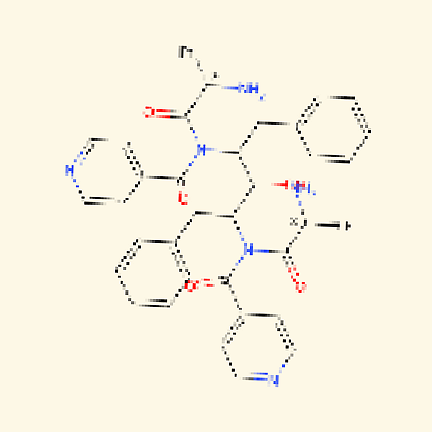 CC(C)[C@H](N)C(=O)N(C(=O)c1ccncc1)C(Cc1ccccc1)C(O)C(Cc1ccccc1)N(C(=O)c1ccncc1)C(=O)[C@@H](N)C(C)C